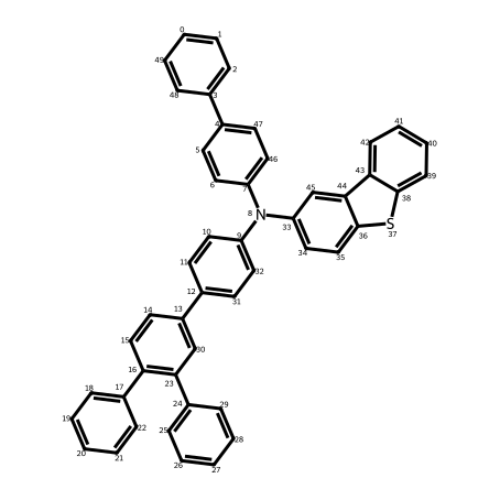 c1ccc(-c2ccc(N(c3ccc(-c4ccc(-c5ccccc5)c(-c5ccccc5)c4)cc3)c3ccc4sc5ccccc5c4c3)cc2)cc1